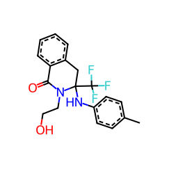 Cc1ccc(NC2(C(F)(F)F)Cc3ccccc3C(=O)N2CCO)cc1